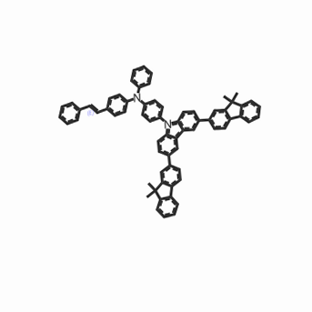 CC1(C)c2ccccc2-c2ccc(-c3ccc4c(c3)c3cc(-c5ccc6c(c5)C(C)(C)c5ccccc5-6)ccc3n4-c3ccc(N(c4ccccc4)c4ccc(/C=C/c5ccccc5)cc4)cc3)cc21